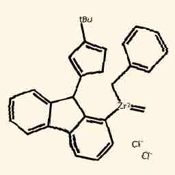 [CH2]=[Zr+2]([CH2]c1ccccc1)[c]1cccc2c1C(C1=CC(C(C)(C)C)=CC1)c1ccccc1-2.[Cl-].[Cl-]